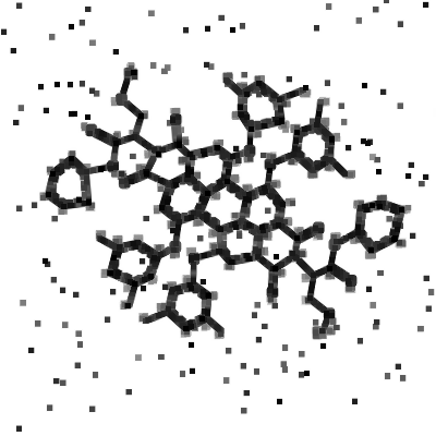 CCOCC(C(=O)Oc1ccccc1)N1C(=O)c2cc(Oc3cc(C)cc(C)c3)c3c4c(Oc5cc(C)cc(C)c5)cc5c6c(cc(Oc7cc(C)cc(C)c7)c(c7c(Oc8cc(C)cc(C)c8)cc(c2c37)C1=O)c64)C(=O)N(C(COCC)C(=O)Oc1ccccc1)C5=O